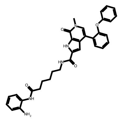 Cn1cc(-c2ccccc2Oc2ccccc2)c2cc(C(=O)NCCCCCC(=O)Nc3ccccc3N)[nH]c2c1=O